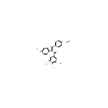 CCOc1ccc(-c2sc3cc(OC)ccc3c2C(=O)c2cc(OC)c(OC)c(OC)c2)cc1